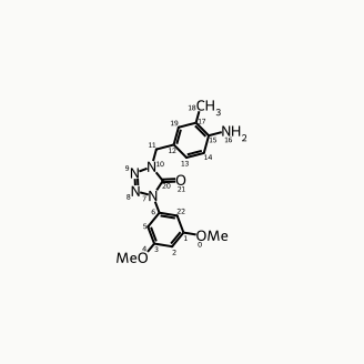 COc1cc(OC)cc(-n2nnn(Cc3ccc(N)c(C)c3)c2=O)c1